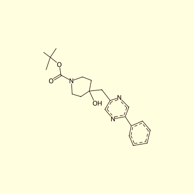 CC(C)(C)OC(=O)N1CCC(O)(Cc2cnc(-c3ccccc3)cn2)CC1